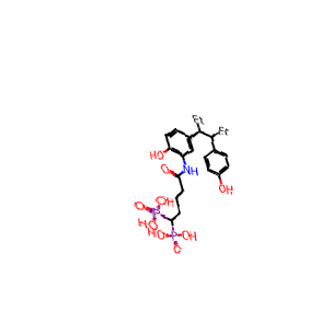 CCC(c1ccc(O)cc1)C(CC)c1ccc(O)c(NC(=O)CCCC(P(=O)(O)O)P(=O)(O)O)c1